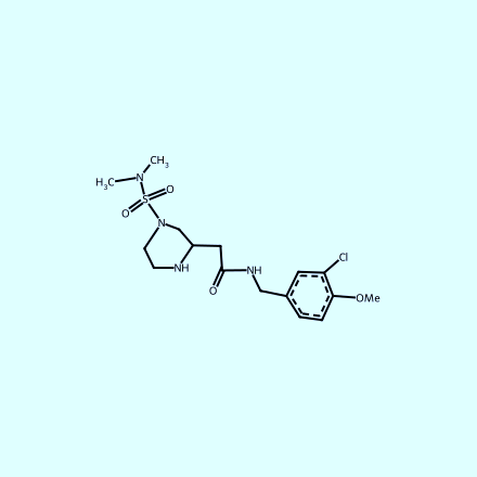 COc1ccc(CNC(=O)CC2CN(S(=O)(=O)N(C)C)CCN2)cc1Cl